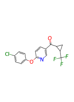 O=C(c1ccc(Oc2ccc(Cl)cc2)nc1)C1CC1C(F)(F)F